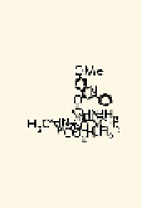 BN[C@@H](C(=C)C)C(=O)N1C[C@H](Oc2cc(-c3ccccc3)nc3cc(OC)ccc23)C[C@H]1C(=O)N[C@]1(C(=O)O)CC1C=C